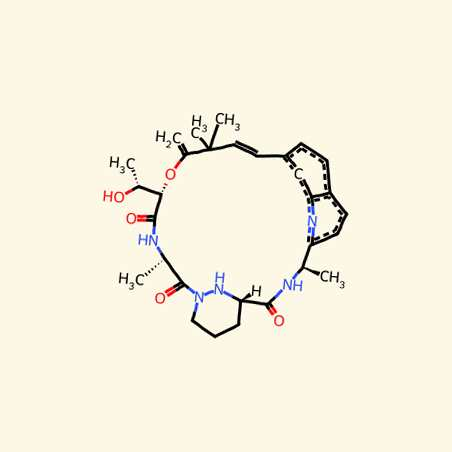 C=C1O[C@@H]([C@@H](C)O)C(=O)N[C@@H](C)C(=O)N2CCC[C@H](N2)C(=O)N[C@H](C)c2ccc3ccc(cc3n2)/C=C/C1(C)C